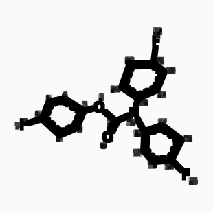 O=C(Oc1ccc(F)cc1)N(c1ccc(F)cc1)c1ccc(F)cc1